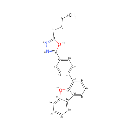 CCCCc1nnc(-c2ccc(-c3cccc4c3oc3ccccc34)cc2)o1